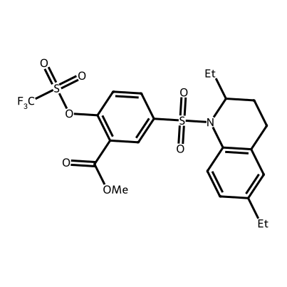 CCc1ccc2c(c1)CCC(CC)N2S(=O)(=O)c1ccc(OS(=O)(=O)C(F)(F)F)c(C(=O)OC)c1